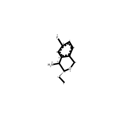 CC[C@H]1OCc2ccc(F)cc2C1N